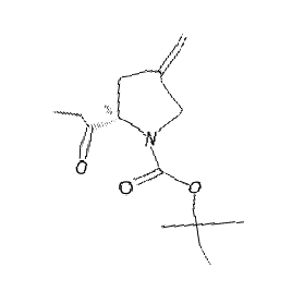 C=C1C[C@@H](C(C)=O)N(C(=O)OC(C)(C)C)C1